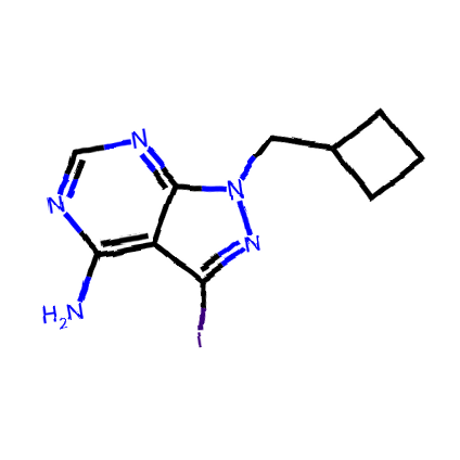 Nc1ncnc2c1c(I)nn2CC1CCC1